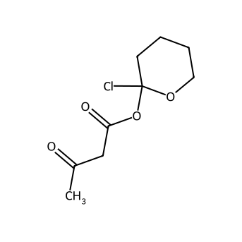 CC(=O)CC(=O)OC1(Cl)CCCCO1